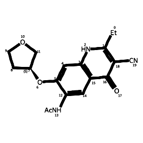 CCc1[nH]c2cc(O[C@H]3CCOC3)c(NC(C)=O)cc2c(=O)c1C#N